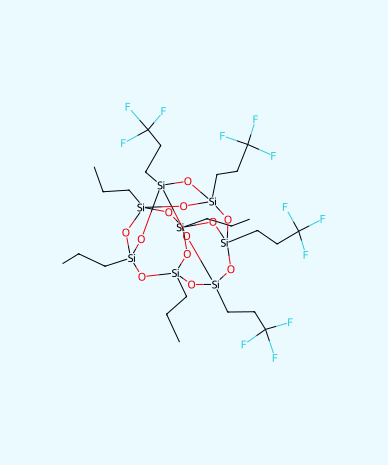 CCC[Si]12O[Si]3(CCC)O[Si]4(CCC)O[Si](CCC)(O1)O[Si]1(CCC(F)(F)F)O[Si](CCC(F)(F)F)(O2)O[Si](CCC(F)(F)F)(O3)O[Si](CCC(F)(F)F)(O4)O1